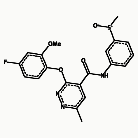 COc1cc(F)ccc1Oc1nnc(C)cc1C(=O)Nc1cccc([S+](C)[O-])c1